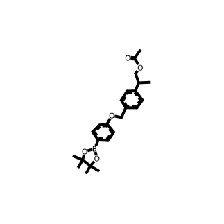 CC(=O)OCC(C)c1ccc(COc2ccc(B3OC(C)(C)C(C)(C)O3)cc2)cc1